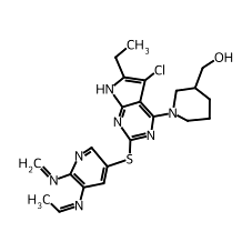 C=Nc1ncc(Sc2nc(N3CCCC(CO)C3)c3c(Cl)c(CC)[nH]c3n2)cc1/N=C\C